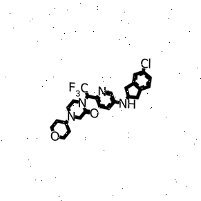 O=C1CN(C2CCOCC2)CCN1C(c1ccc(NC2Cc3ccc(Cl)cc3C2)cn1)C(F)(F)F